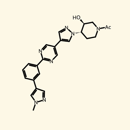 CC(=O)N1CC[C@H](n2cc(-c3cnc(-c4cccc(-c5cnn(C)c5)c4)nc3)cn2)[C@@H](O)C1